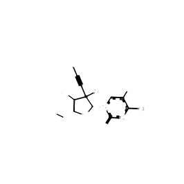 Nc1nc(=O)n([C@@H]2O[C@H](CO)C(O)C2(N)C#CCl)cc1F